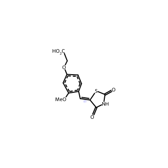 COc1cc(OCC(=O)O)ccc1/C=C1\SC(=O)NC1=O